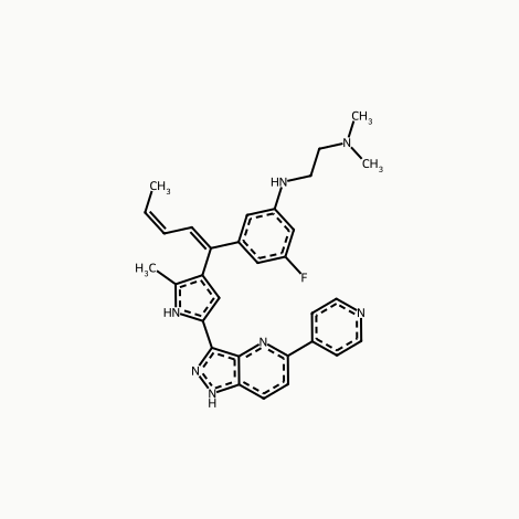 C/C=C\C=C(\c1cc(F)cc(NCCN(C)C)c1)c1cc(-c2n[nH]c3ccc(-c4ccncc4)nc23)[nH]c1C